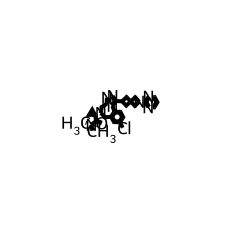 CN(C)C(=O)C1(N2Cc3cc(Cl)ccc3-n3c(nnc3C3CC4(C3)CN(c3ncccn3)C4)C2)CC1